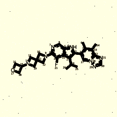 Cc1c(-c2[nH]c3cnc(N4CC5(C4)CN(C4COC4)C5)c(F)c3c2C(C)C)cn2ncnc2c1C